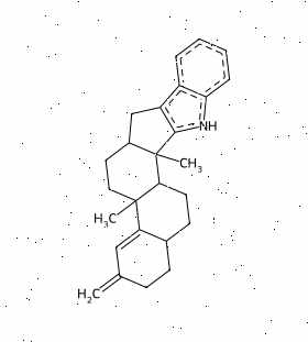 C=C1C=C2C(CC1)CCC1C2(C)CCC2Cc3c([nH]c4ccccc34)C21C